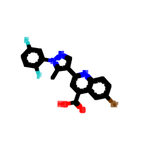 Cc1c(-c2cc(C(=O)O)c3cc(Br)ccc3n2)cnn1-c1cc(F)ccc1F